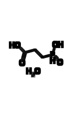 O.O=C(O)CC[PH](=O)O